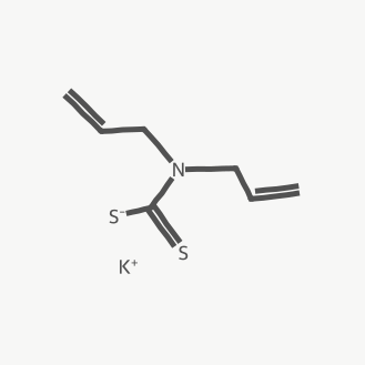 C=CCN(CC=C)C(=S)[S-].[K+]